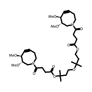 CO[C@H]1C#CCCN(C(=O)CCC(=O)OCCC(C)(C)OCCC(C)(C)OC(=O)CCC(=O)N2CCC#C[C@H](OC)[C@@H](OC)C2)C[C@@H]1OC